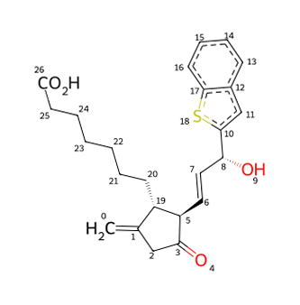 C=C1CC(=O)[C@H](/C=C/[C@@H](O)c2cc3ccccc3s2)[C@H]1CCCCCCC(=O)O